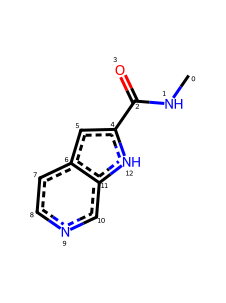 CNC(=O)c1cc2ccncc2[nH]1